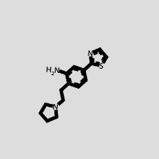 Nc1cc(-c2nccs2)ccc1CCN1CCCC1